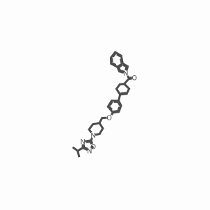 CC(C)c1noc(N2CCC(COc3ccc(C4=CCC(C(=O)n5cc6ccccc6c5)CC4)cc3)CC2)n1